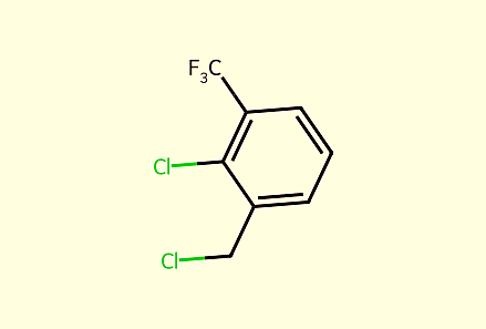 FC(F)(F)c1cccc(CCl)c1Cl